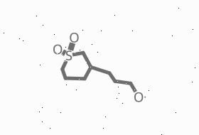 [O]CCCC1CCCS(=O)(=O)C1